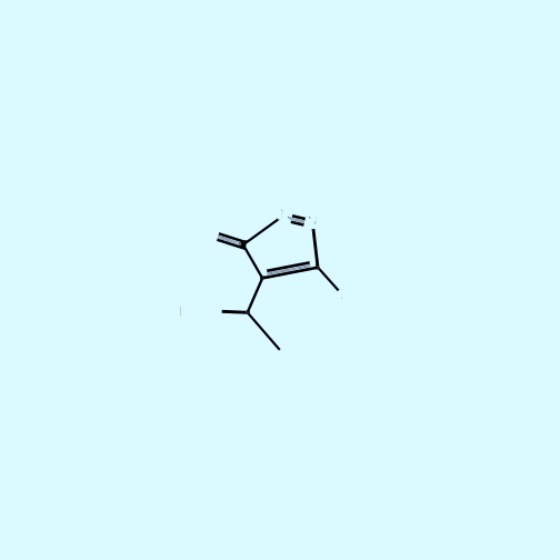 CC(C(=O)O)C1=C(C(=O)O)N=NC1=O